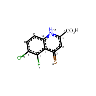 O=C(O)c1cc(=S)c2c(F)c(Cl)ccc2[nH]1